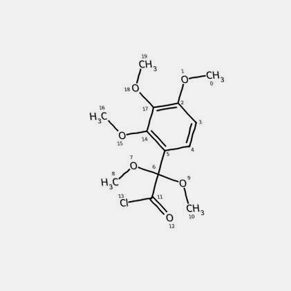 COc1ccc(C(OC)(OC)C(=O)Cl)c(OC)c1OC